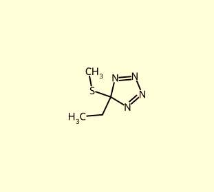 CCC1(SC)N=NN=N1